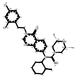 CC1CCCCC1N(C(=N)N1C[C@@H](C)N[C@@H](C)C1)c1ccc2c(=O)n(CCc3ccc(Cl)cc3Cl)cnc2c1